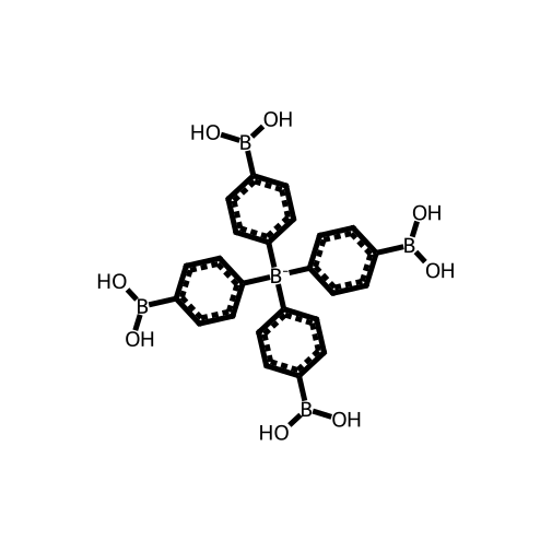 OB(O)c1ccc([B-](c2ccc(B(O)O)cc2)(c2ccc(B(O)O)cc2)c2ccc(B(O)O)cc2)cc1